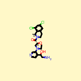 C[C@H]1c2c(Cl)cc(Cl)cc2CCN1C(=O)[C@H]1CN(c2cnccc2C(O)CN)CCO1